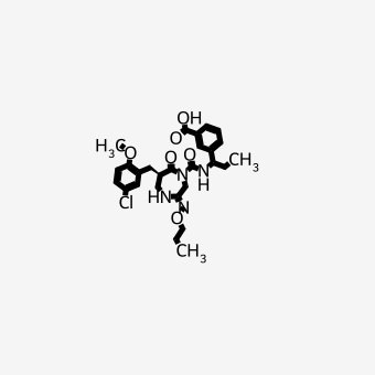 CCCO/N=C1/CN(C(=O)NC(CC)c2cccc(C(=O)O)c2)C(=O)[C@H](Cc2cc(Cl)ccc2OC)CN1